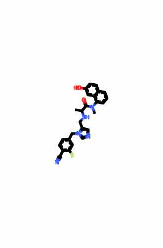 CC(NCc1cncn1Cc1ccc(C#N)c(F)c1)C(=O)N(C)c1cccc2ccc(O)cc12